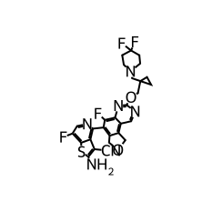 N#Cc1c(N)sc2c(F)cnc(-c3c4c(c5cnc(OCC6(CN7CCC(F)(F)CC7)CC6)nc5c3F)COC4)c12